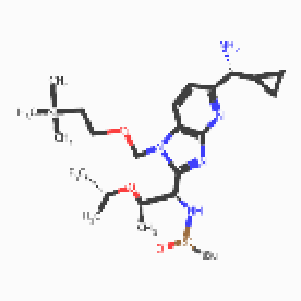 C[C@@H](O[C@H](C)C(F)(F)F)[C@H](N[S@+]([O-])C(C)(C)C)c1nc2nc([C@H](N)C3CC3)ccc2n1COCC[Si](C)(C)C